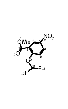 COC(=O)c1cc([N+](=O)[O-])ccc1OC(F)F